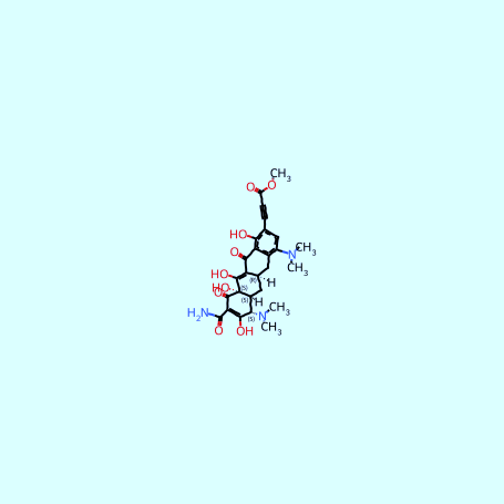 COC(=O)C#Cc1cc(N(C)C)c2c(c1O)C(=O)C1=C(O)[C@]3(O)C(=O)C(C(N)=O)=C(O)[C@@H](N(C)C)[C@@H]3C[C@@H]1C2